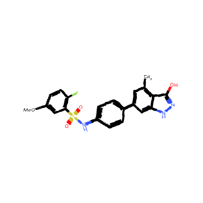 COc1ccc(F)c(S(=O)(=O)Nc2ccc(-c3cc(C)c4c(O)n[nH]c4c3)cc2)c1